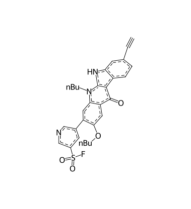 C#Cc1ccc2c(c1)[nH]c1c2c(=O)c2cc(OCCCC)c(-c3cncc(S(=O)(=O)F)c3)cc2n1CCCC